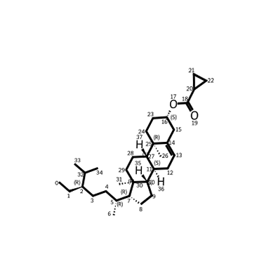 CC[C@H](CC[C@@H](C)[C@H]1CC[C@H]2[C@@H]3CC=C4C[C@@H](OC(=O)C5CC5)CC[C@]4(C)[C@H]3CC[C@]12C)C(C)C